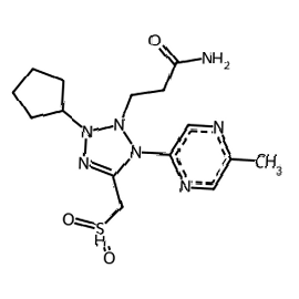 Cc1cnc(N2C(C[SH](=O)=O)=NN(C3CCCC3)N2CCC(N)=O)cn1